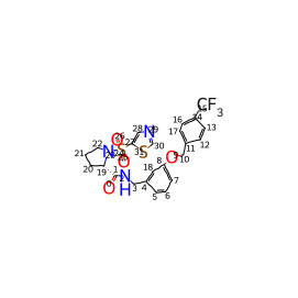 O=C(NCc1cccc(OCc2ccc(C(F)(F)F)cc2)c1)[C@@H]1CCCN1S(=O)(=O)c1cncs1